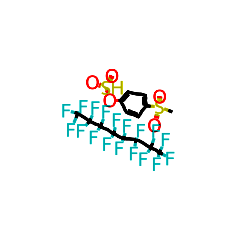 CS(=O)(=O)c1ccc(O[SH](=O)=O)cc1.FC(F)(F)C(F)(F)C(F)(F)C(F)(F)C(F)(F)C(F)(F)C(F)(F)C(F)(F)F